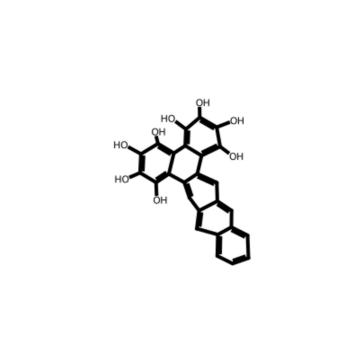 Oc1c(O)c(O)c2c(c1O)c1cc3cc4ccccc4cc3cc1c1c(O)c(O)c(O)c(O)c12